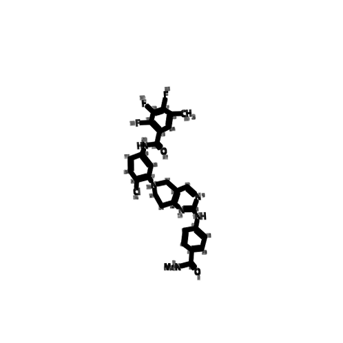 CNC(=O)c1ccc(Nc2ncc3c(n2)CCN(c2cc(NC(=O)c4cc(C)c(F)c(F)c4F)ccc2Cl)C3)cc1